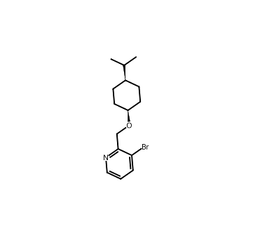 CC(C)[C@H]1CC[C@@H](OCc2ncccc2Br)CC1